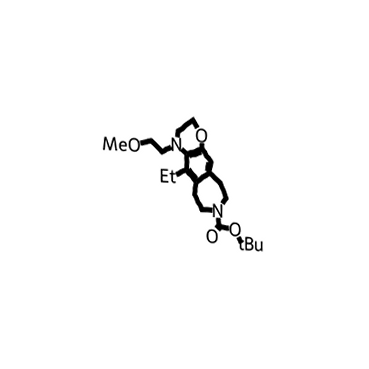 CCc1c2c(cc3c1N(CCOC)CCO3)CCN(C(=O)OC(C)(C)C)CC2